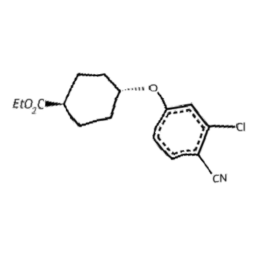 CCOC(=O)[C@H]1CC[C@H](Oc2ccc(C#N)c(Cl)c2)CC1